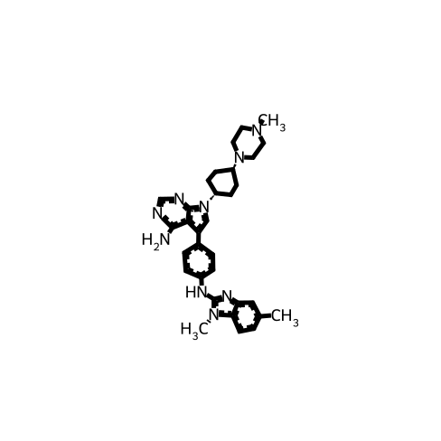 Cc1ccc2c(c1)nc(Nc1ccc(-c3cn([C@H]4CC[C@@H](N5CCN(C)CC5)CC4)c4ncnc(N)c34)cc1)n2C